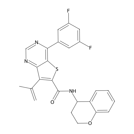 C=C(C)c1c(C(=O)NC2CCOc3ccccc32)sc2c(-c3cc(F)cc(F)c3)ncnc12